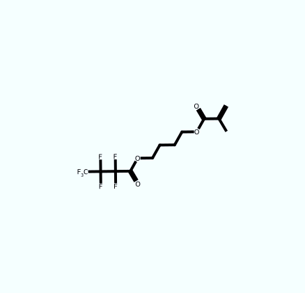 C=C(C)C(=O)OCCCCOC(=O)C(F)(F)C(F)(F)C(F)(F)F